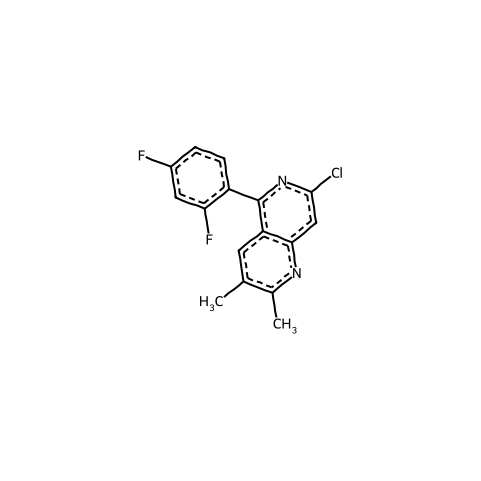 Cc1cc2c(-c3ccc(F)cc3F)nc(Cl)cc2nc1C